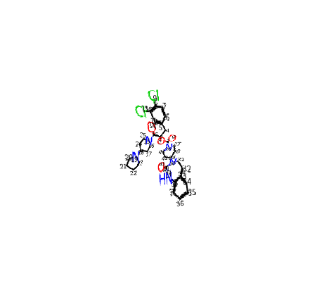 O=C(OC(Cc1ccc(Cl)c(Cl)c1)C(=O)N1CCC(N2CCCC2)CC1)N1CCC(N2CCc3ccccc3NC2=O)CC1